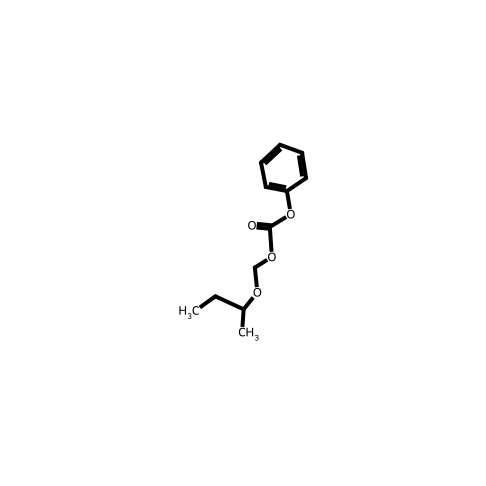 CCC(C)OCOC(=O)Oc1ccccc1